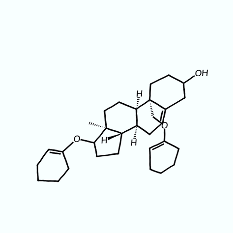 C[C@]12CC[C@@H]3[C@@H](CC=C4CC(O)CC[C@@]43COC3=CCCCC3)[C@@H]1CCC2OC1=CCCCC1